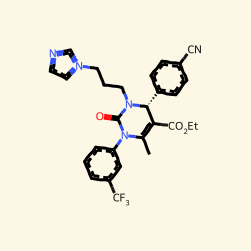 CCOC(=O)C1=C(C)N(c2cccc(C(F)(F)F)c2)C(=O)N(CCCn2ccnc2)[C@@H]1c1ccc(C#N)cc1